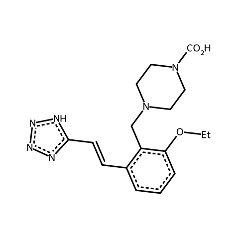 CCOc1cccc(C=Cc2nnn[nH]2)c1CN1CCN(C(=O)O)CC1